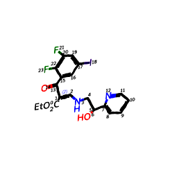 CCOC(=O)/C(=C\NCC(O)c1ccccn1)C(=O)c1cc(I)cc(F)c1F